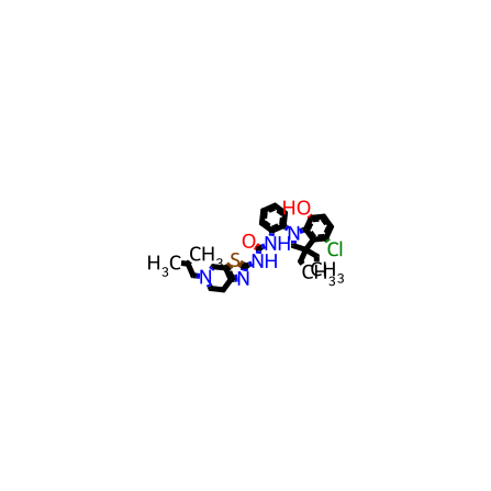 CCC1(CC)CN(c2ccccc2NC(=O)Nc2nc3c(s2)CN(CC(C)C)CC3)c2c(O)ccc(Cl)c21